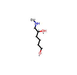 CCNCC(O)CCCC[O]